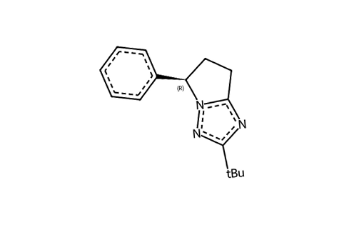 CC(C)(C)c1nc2n(n1)[C@@H](c1ccccc1)CC2